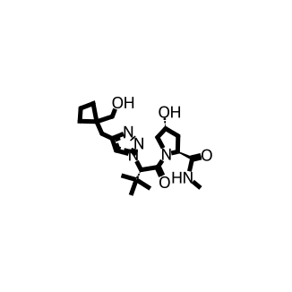 CNC(=O)[C@@H]1C[C@@H](O)CN1C(=O)[C@@H](n1cc(CC2(CO)CCC2)nn1)C(C)(C)C